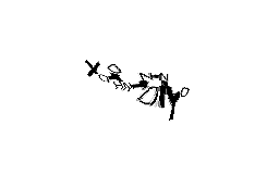 CC(=O)c1nnc(NC(=O)OC(C)(C)C)o1